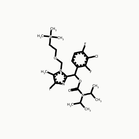 Cc1c(I)nc(C(OC(=O)N(C(C)C)C(C)C)c2ccc(F)c(Cl)c2F)n1COCC[Si](C)(C)C